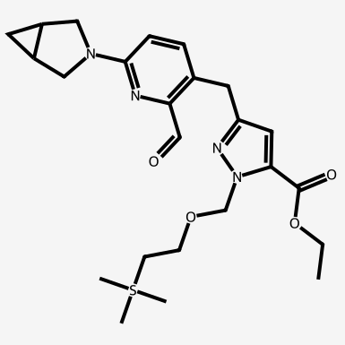 CCOC(=O)c1cc(Cc2ccc(N3CC4CC4C3)nc2C=O)nn1COCCS(C)(C)C